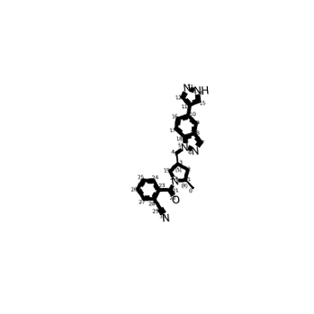 C[C@@H]1C[C@H](Cn2ncc3cc(-c4cn[nH]c4)ccc32)CN1C(=O)c1ccccc1C#N